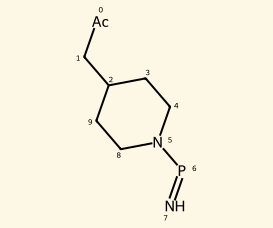 CC(=O)CC1CCN(P=N)CC1